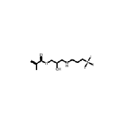 C=C(C)C(=O)OCC(O)CNCCCS(I)(I)I